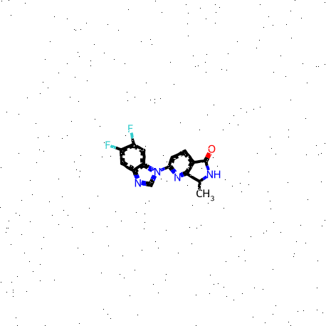 CC1NC(=O)c2ccc(-n3cnc4cc(F)c(F)cc43)nc21